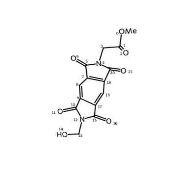 COC(=O)Cn1c(=O)c2cc3c(=O)n(CO)c(=O)c3cc2c1=O